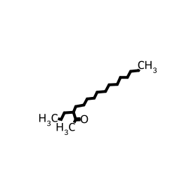 CCCCCCCCCCCCCC(CCC)C(C)=O